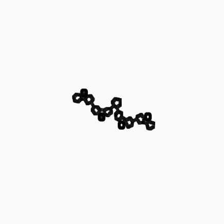 c1ccc(-c2ccc3oc4ccc(-c5ccc6oc7ccccc7c6c5)cc4c3c2)c(-c2ccc3oc4ccc(-c5ccc6oc7ccccc7c6c5)cc4c3c2)c1